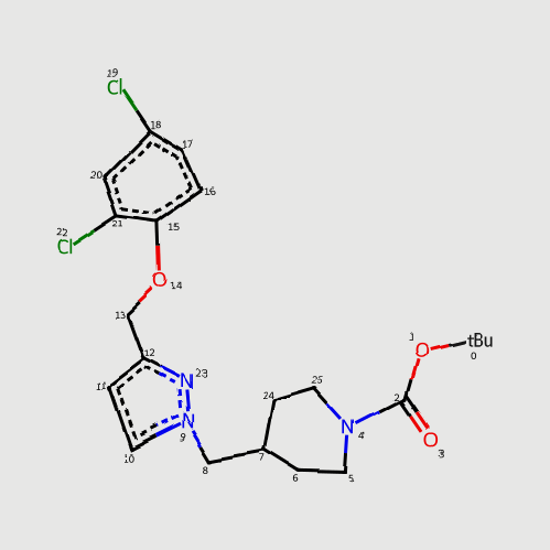 CC(C)(C)OC(=O)N1CCC(Cn2ccc(COc3ccc(Cl)cc3Cl)n2)CC1